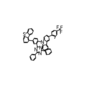 Cc1cc(C(F)(F)F)ccc1-c1ccc2c(c1)c1ccccc1n2-c1ccc(-c2cccc3sc4ccccc4c23)cc1-c1nc(-c2ccccc2)nc(-c2ccccc2)n1